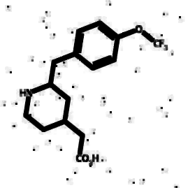 O=C(O)CC1CCNC(Cc2ccc(OC(F)(F)F)cc2)C1